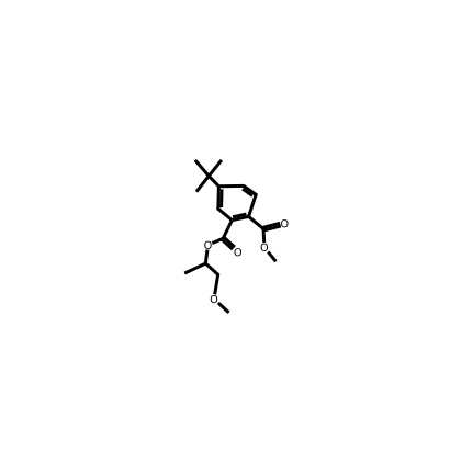 COCC(C)OC(=O)c1cc(C(C)(C)C)ccc1C(=O)OC